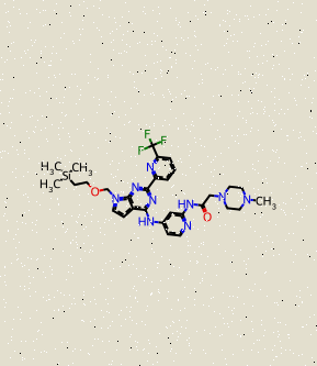 CN1CCN(CC(=O)Nc2cc(Nc3nc(-c4cccc(C(F)(F)F)n4)nc4c3ccn4COCC[Si](C)(C)C)ccn2)CC1